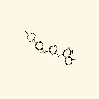 Cc1cccc2c(Nc3cccc(Nc4ccc(N5CCN(C)CC5)cc4)n3)cnnc12